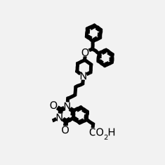 Cn1c(=O)c2cc(CC(=O)O)ccc2n(CCCCN2CCC(OC(c3ccccc3)c3ccccc3)CC2)c1=O